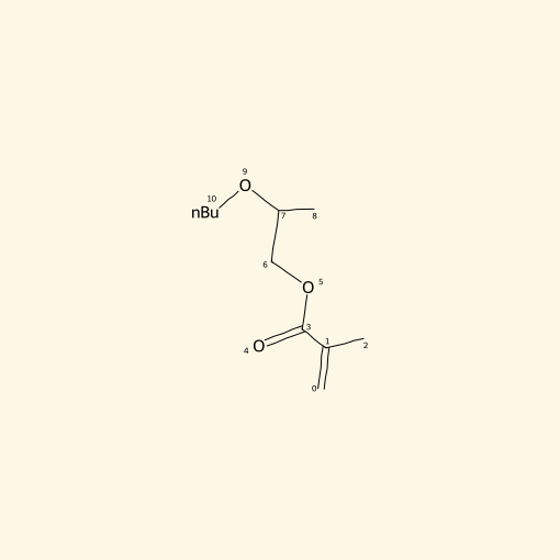 C=C(C)C(=O)OCC(C)OCCCC